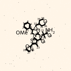 COc1ccccc1C(Cn1c(=O)n(C(C)(C)C(N)=O)c(=O)c2c(C)c(-c3ncco3)sc21)OCC1CCOCC1